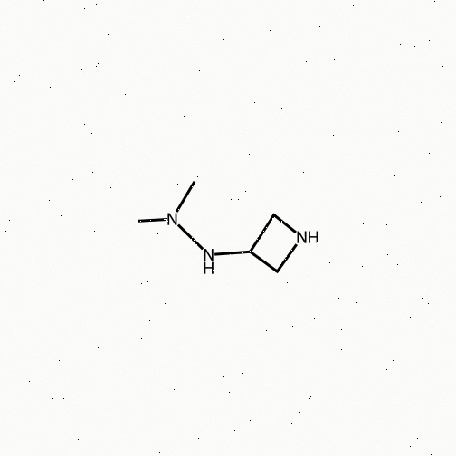 CN(C)NC1CNC1